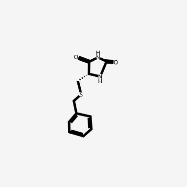 O=C1NC(=O)[C@@H](CSCc2ccccc2)N1